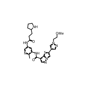 COCCn1cc(-c2cn3ncc(C(=O)Nc4cc(NC(=O)CCC5CCCN5)cnc4C)c3s2)cn1